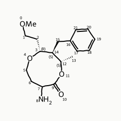 COCC[C@H]1OCCC(N)C(=O)O[C@@H](C)[C@@H]1Cc1ccccc1